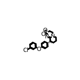 O=S1(=O)CCN2CCC[C@H](c3ccc(Oc4cccc(Cl)c4)cc3)C2=N1